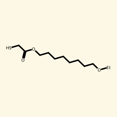 CCOCCCCCCCCOC(=O)CS